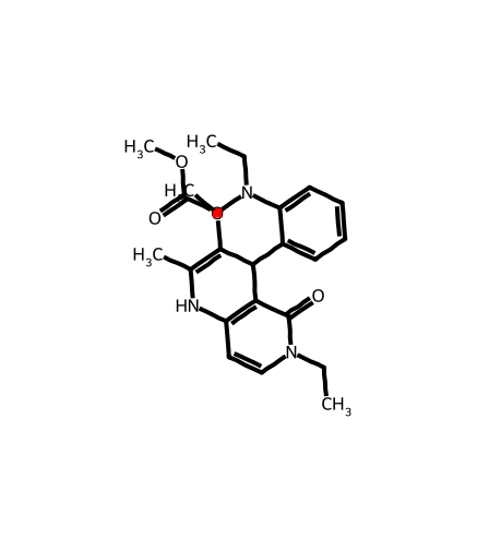 CCN(CC)c1ccccc1C1C(OC(=O)OC)=C(C)Nc2ccn(CC)c(=O)c21